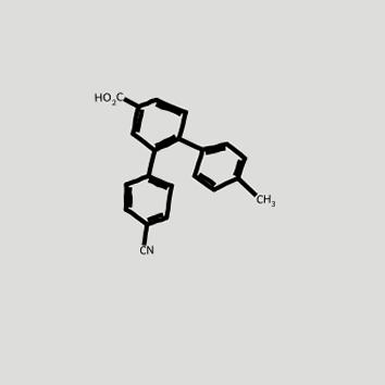 Cc1ccc(-c2ccc(C(=O)O)cc2-c2ccc(C#N)cc2)cc1